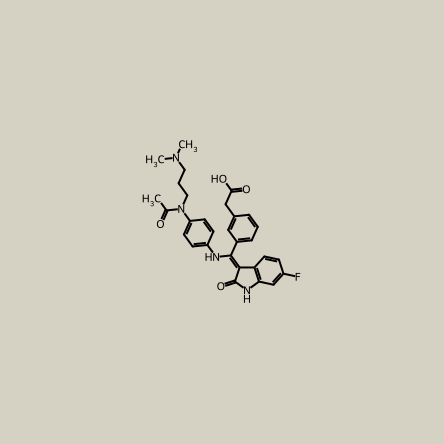 CC(=O)N(CCCN(C)C)c1ccc(N/C(=C2\C(=O)Nc3cc(F)ccc32)c2cccc(CC(=O)O)c2)cc1